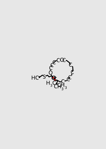 C#CCSCCC12OCCCCCCCCCCCCCCCCCCCCC(C(C)(C)C)(CO1)CO2